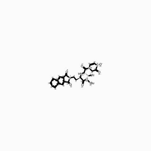 CC(C)C[C@H](N[C@H](CCN1C(=O)c2cc3ccccc3cc2C1=O)C(=O)OC(C)(C)C)C(=O)N1C=C[S+]([O-])C(=O)C1